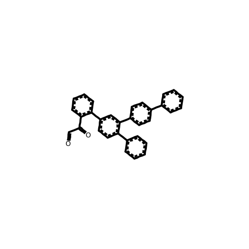 O=CC(=O)c1ccccc1-c1ccc(-c2ccccc2)c(-c2ccc(-c3ccccc3)cc2)c1